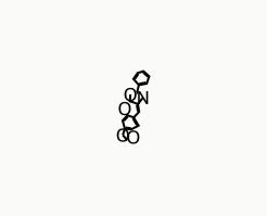 O=C1OC(c2ccccc2)=N/C1=C/c1ccc2c(c1)OCO2